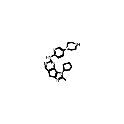 Cc1nc2c(n1C1CCCC1)-c1nc(Nc3ccc(N4CCNCC4)cn3)ncc1C2